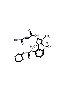 CN1CC[C@]2(C)c3c(NC(=O)OC4CCCCC4)cccc3N(C)[C@H]12.O=C(O)/C=C/C(=O)O